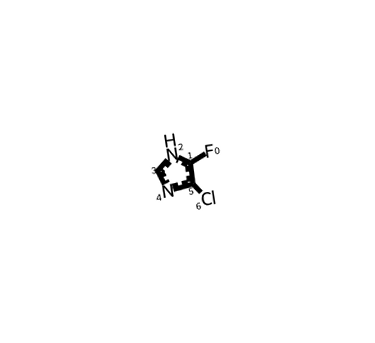 Fc1[nH]cnc1Cl